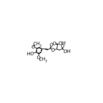 COc1cc(C=CC(=O)OC(CC(=O)O)C(=O)O)cc(OC)c1O